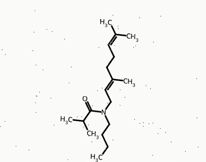 CCCCN(C/C=C(\C)CCC=C(C)C)C(=O)C(C)C